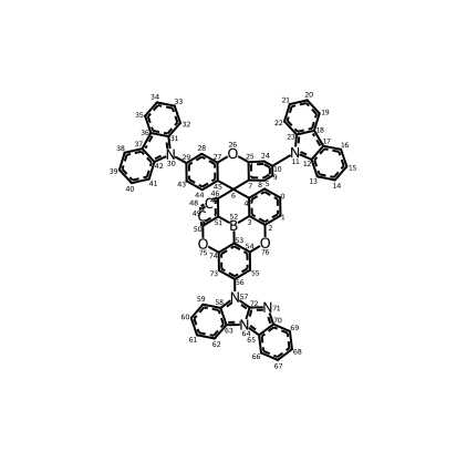 c1cc2c3c(c1)C1(c4ccc(-n5c6ccccc6c6ccccc65)cc4Oc4cc(-n5c6ccccc6c6ccccc65)ccc41)c1cccc4c1B3c1c(cc(-n3c5ccccc5n5c6ccccc6nc35)cc1O4)O2